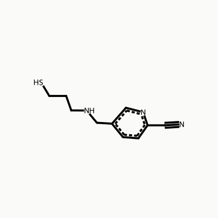 N#Cc1ccc(CNCCCS)cn1